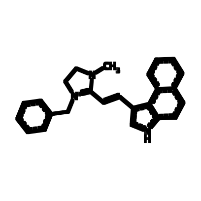 CN1CC[N+](Cc2ccccc2)=C1/C=C/c1c[nH]c2ccc3ccccc3c12